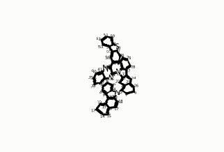 c1cc(-n2c3ccccc3c3c4ccccc4ccc32)c2cc3c(cc2c1)c1ccccc1n3-c1nc2ccccc2nc1-c1ccc2sc3ccccc3c2c1